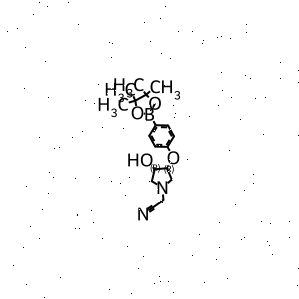 CC1(C)OB(c2ccc(O[C@@H]3CN(CC#N)C[C@H]3O)cc2)OC1(C)C